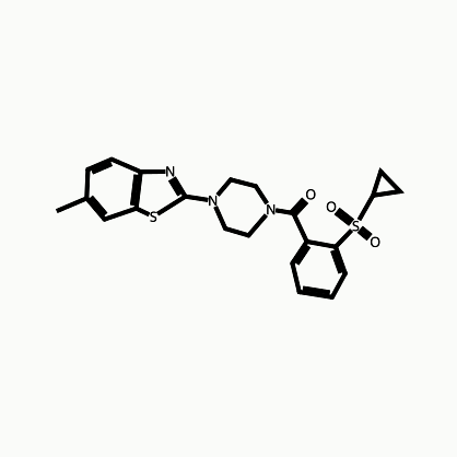 Cc1ccc2nc(N3CCN(C(=O)c4ccccc4S(=O)(=O)C4CC4)CC3)sc2c1